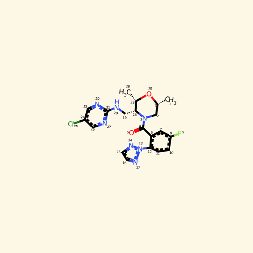 C[C@@H]1CN(C(=O)c2cc(F)ccc2-n2nccn2)[C@H](CNc2ncc(Cl)cn2)[C@H](C)O1